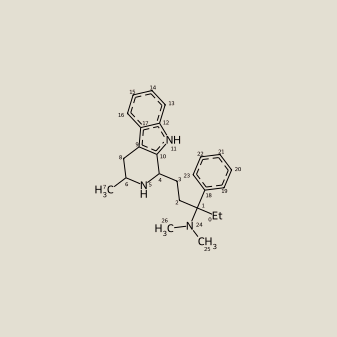 CCC(CCC1NC(C)Cc2c1[nH]c1ccccc21)(c1ccccc1)N(C)C